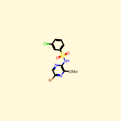 COc1nc(Br)cnc1NS(=O)(=O)c1cccc(Cl)c1